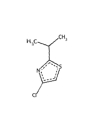 CC(C)c1nc(Cl)cs1